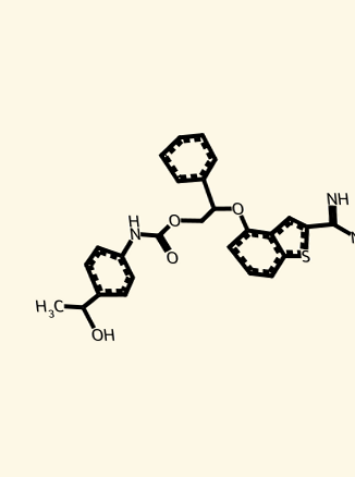 CC(O)c1ccc(NC(=O)OCC(Oc2cccc3sc(C(=N)N)cc23)c2ccccc2)cc1